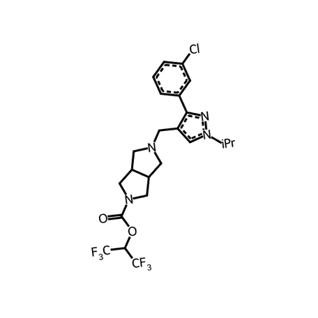 CC(C)n1cc(CN2CC3CN(C(=O)OC(C(F)(F)F)C(F)(F)F)CC3C2)c(-c2cccc(Cl)c2)n1